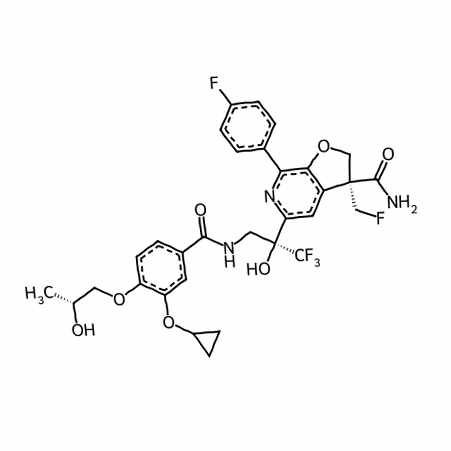 C[C@@H](O)COc1ccc(C(=O)NC[C@](O)(c2cc3c(c(-c4ccc(F)cc4)n2)OC[C@@]3(CF)C(N)=O)C(F)(F)F)cc1OC1CC1